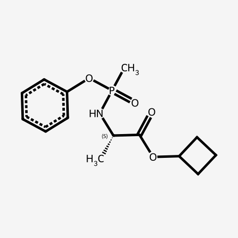 C[C@H](NP(C)(=O)Oc1ccccc1)C(=O)OC1CCC1